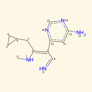 CN/C(CC1CC1)=C(\C=N)c1cc(N)ncn1